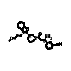 COCCCn1c([C@@H]2CCCN(C(=O)C[C@H](N)c3cccc(C#N)c3)C2)nc2ccccc21